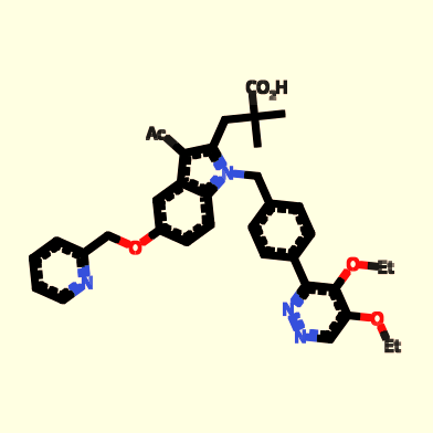 CCOc1cnnc(-c2ccc(Cn3c(CC(C)(C)C(=O)O)c(C(C)=O)c4cc(OCc5ccccn5)ccc43)cc2)c1OCC